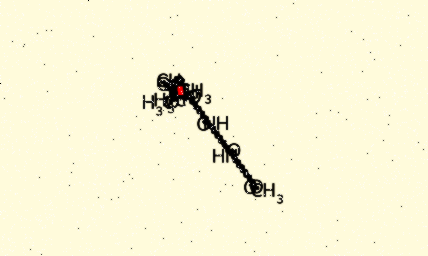 COC(=O)CCCCCCCCCCCNC(=O)CCCCCCCCCCCNC(=O)CCCCCCCCC(=O)N1C[C@](C)(COC(c2ccccc2)(c2ccc(OC)cc2)c2ccc(OC)cc2)[C@](C)(CO)C1